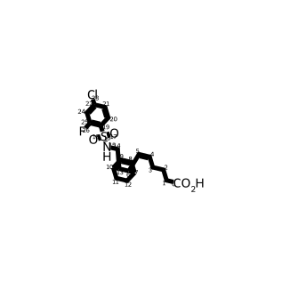 O=C(O)CCC/C=C\C1C2C=CC(CC2)C1CNS(=O)(=O)c1ccc(Cl)cc1F